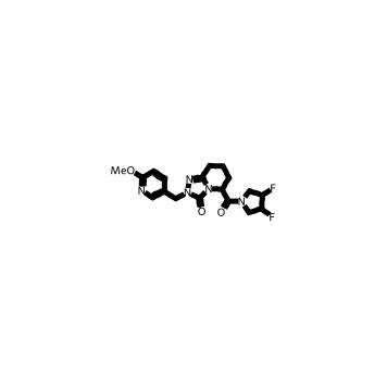 COc1ccc(Cn2nc3n(c2=O)C(C(=O)N2CC(F)C(F)C2)CCC3)cn1